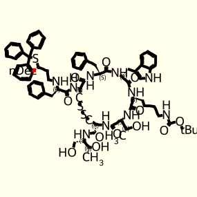 CCCCCCCCCCC(CCN[C@H](Cc1ccccc1)C(=O)N[C@H]1CSSC[C@@H](C(=O)N[C@@H](CO)[C@@H](C)O)NC(=O)[C@H]([C@@H](C)O)NC(=O)[C@H](CCCCNC(=O)OC(C)(C)C)NC(=O)[C@@H](Cc2c[nH]c3ccccc23)NC(=O)[C@H](Cc2ccccc2)NC1=O)SC(c1ccccc1)(c1ccccc1)c1ccccc1